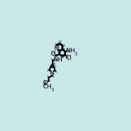 COCCCN1CC2C(CNC(=O)c3cc(Cl)c(N)c4cccnc34)C2C1